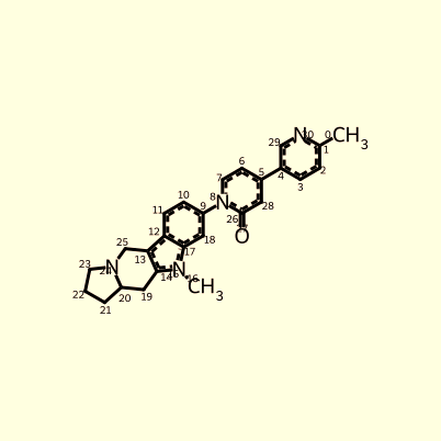 Cc1ccc(-c2ccn(-c3ccc4c5c(n(C)c4c3)CC3CCCN3C5)c(=O)c2)cn1